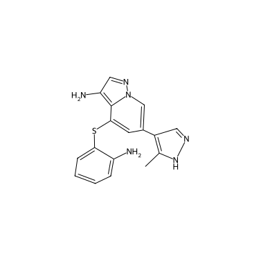 Cc1[nH]ncc1-c1cc(Sc2ccccc2N)c2c(N)cnn2c1